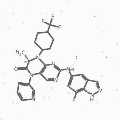 C[C@@H]1C(=O)N(c2cccnc2)c2cnc(Nc3cc(F)c4[nH]ncc4c3)nc2N1C1CCC(C(F)(F)F)CC1